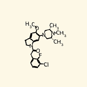 COc1cc2c(cc1N1C[C@@H](C)N(C)[C@@H](C)C1)N(C(=O)Cc1cccc(Cl)c1F)CC2